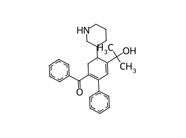 CC(C)(O)C1=CC(c2ccccc2)=C(C(=O)c2ccccc2)C[C]1C1CCCNC1